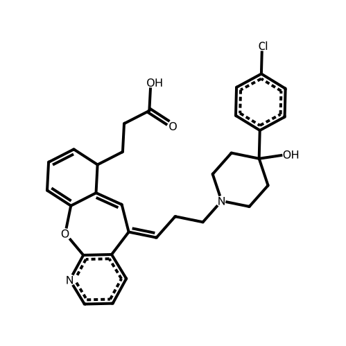 O=C(O)CCC1C=CC=C2Oc3ncccc3C(=CCCN3CCC(O)(c4ccc(Cl)cc4)CC3)C=C21